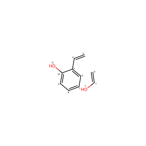 C=CO.C=Cc1ccccc1O